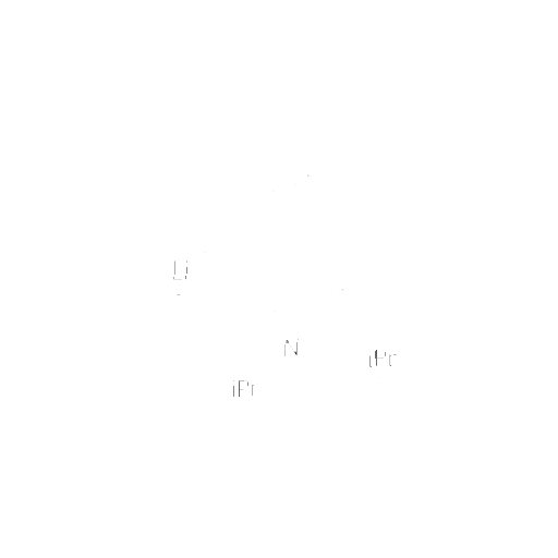 C1CCCCC1.CC(C)[N-]C(C)C.[Li+]